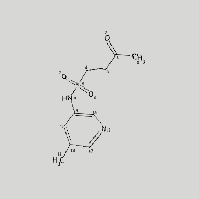 CC(=O)CCS(=O)(=O)Nc1cncc(C)c1